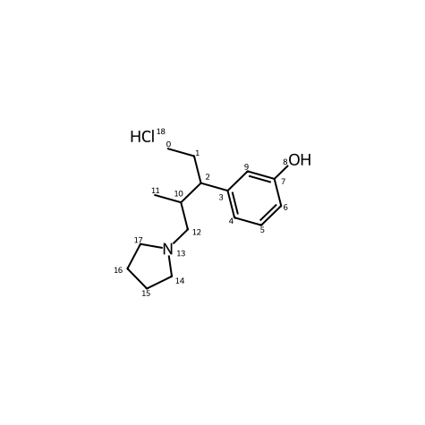 CCC(c1cccc(O)c1)C(C)CN1CCCC1.Cl